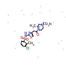 Cc1c(Cl)cccc1S(=O)(=O)Nc1nc(CC(=O)N2CCN(C(=O)O)C[C@H]2C)cs1